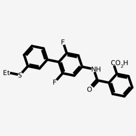 CCSc1cccc(-c2c(F)cc(NC(=O)c3ccccc3C(=O)O)cc2F)c1